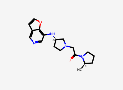 N#C[C@@H]1CCCN1C(=O)CN1CC[C@H](Nc2cncc3ccoc23)C1